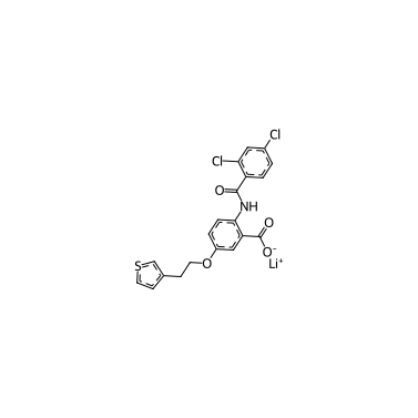 O=C(Nc1ccc(OCCc2ccsc2)cc1C(=O)[O-])c1ccc(Cl)cc1Cl.[Li+]